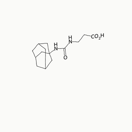 O=C(O)CCNC(=O)NC12CC3CC(CC(C3)C1)C2